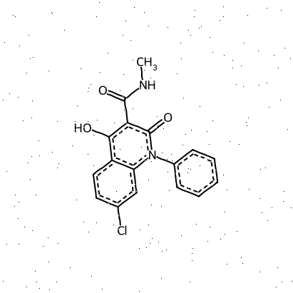 CNC(=O)c1c(O)c2ccc(Cl)cc2n(-c2ccccc2)c1=O